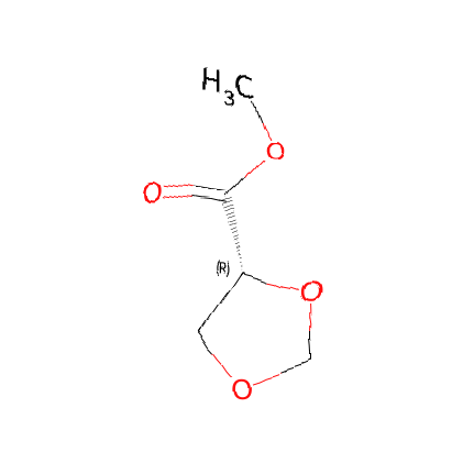 COC(=O)[C@H]1COCO1